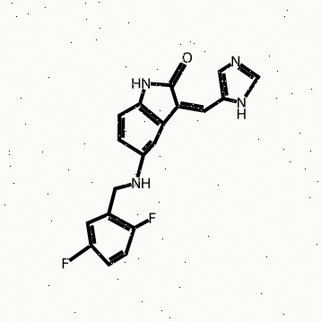 O=C1Nc2ccc(NCc3cc(F)ccc3F)cc2C1=Cc1cnc[nH]1